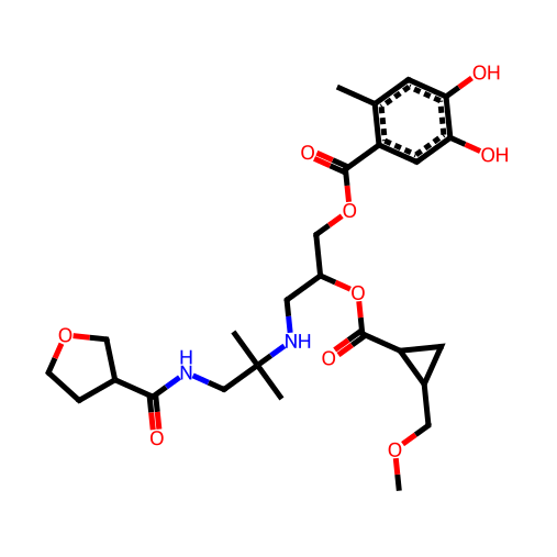 COCC1CC1C(=O)OC(CNC(C)(C)CNC(=O)C1CCOC1)COC(=O)c1cc(O)c(O)cc1C